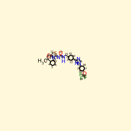 CC(C)c1ccccc1N1C(=O)CS/C1=N\C(=O)NCc1ccc(-c2ncn(-c3ccc(OC(F)(F)F)cc3)n2)cc1